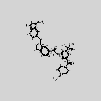 Cc1n[nH]c2ncc(CN3CCc4ccc(C(=O)Nc5cc(C(=O)N6CCN(C)CC6)cc(C(F)(F)F)c5)cc43)cc12